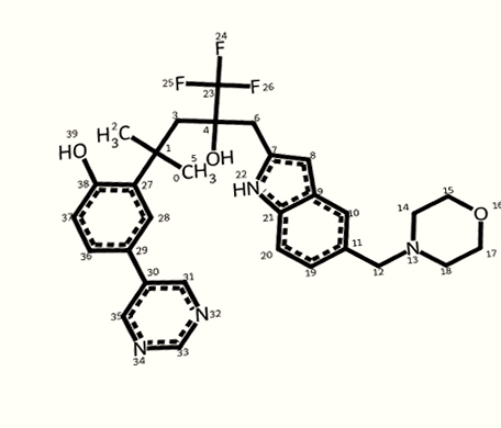 CC(C)(CC(O)(Cc1cc2cc(CN3CCOCC3)ccc2[nH]1)C(F)(F)F)c1cc(-c2cncnc2)ccc1O